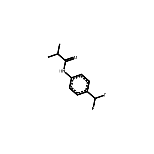 CC(C)C(=O)Nc1ccc(C(F)F)cc1